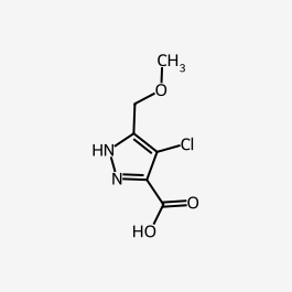 COCc1[nH]nc(C(=O)O)c1Cl